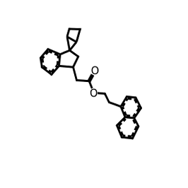 O=C(CC1CC2(c3ccccc31)C1CCC12)OCCc1cccc2ccccc12